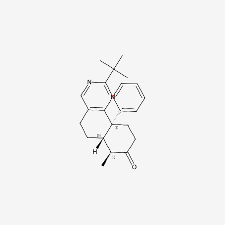 C[C@@H]1C(=O)CC[C@]2(c3ccccc3)c3nc(C(C)(C)C)ncc3CC[C@@H]12